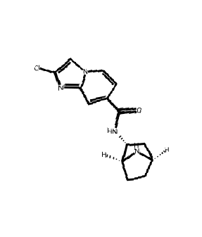 O=C(N[C@@H]1C[C@H]2CC[C@@H]1N2)c1ccn2cc(Cl)nc2c1